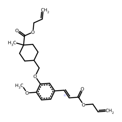 C=CCOC(=O)/C=C/c1ccc(OC)c(OCC2CCC(C)(C(=O)OCC=C)CC2)c1